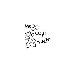 COc1ccccc1C1(C(Oc2ncnc3sc4c5ccc(F)cc5c5c(Cl)c(OCCN6CCN(C)CC6)ccc5c4c23)C(=O)O)CC1